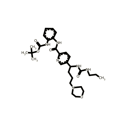 CCCNC(=O)NC(CCCN1CCOCC1)c1ccc(C(=O)Nc2ccccc2NC(=O)OC(C)(C)C)nc1